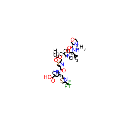 CC(=O)O[C@H](C[C@H](C(C)C)N(C)C(=O)[C@@H](NC(=O)[C@H]1COCCN1C)C1CC1)c1nc(C(=O)N[C@@H](Cc2nc(C(F)(F)F)cs2)C[C@H](C)C(=O)O)cs1